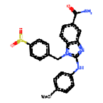 COc1ccc(Nc2nc3cc(C(N)=O)ccc3n2Cc2ccc([SH](=O)=O)cc2)cc1